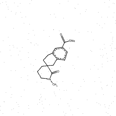 COC(=O)c1ccc2c(c1)CCC1(CCCN(C)C1=O)C2